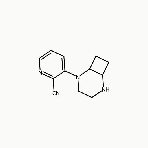 N#Cc1ncccc1N1CCNC2CCC21